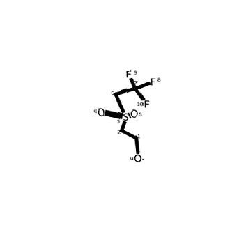 [O]CCS(=O)(=O)CC(F)(F)F